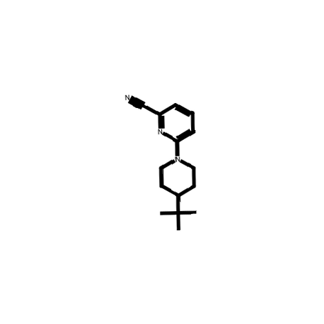 CC(C)(C)C1CCN(c2cccc(C#N)n2)CC1